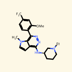 CCN1CCC[C@@H](Nc2nnc(-c3ccc(C(F)(F)F)cc3OC)c3c2ccn3C)C1